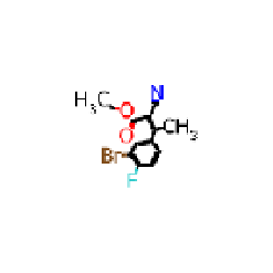 CCOC(=O)C(C#N)=C(C)c1ccc(F)c(Br)c1